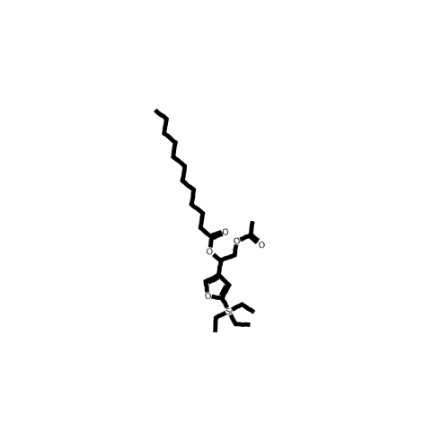 CCCCCCCCCCCC(=O)OC(COC(C)=O)c1coc([Si](CC)(CC)CC)c1